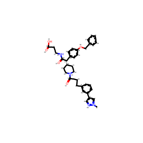 Cn1cc(-c2cccc(CCC(=O)N3CCC([C@H](C(=O)NCCC(=O)O)c4ccc(OCc5ccccc5)cc4)CC3)c2)cn1